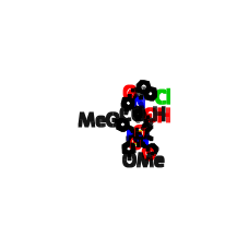 COc1ccc(CN(Cc2ccc(OC)cc2)S(=O)(=O)N(CC2CCCO2)C(C)C2C=C(C(O)[C@@H]3CC[C@H]3CN3C[C@@]4(CCCc5cc(Cl)ccc54)COc4ccc(C(=O)O)cc43)C2)cc1